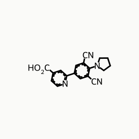 N#Cc1cc(-c2cc(C(=O)O)ccn2)cc(C#N)c1N1CCCC1